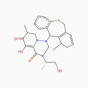 CC1CN2C(=C(O)C1=O)C(=O)N([C@@H](C)CO)CN2C1C2=C(C=CCC2C)CSc2ccccc21